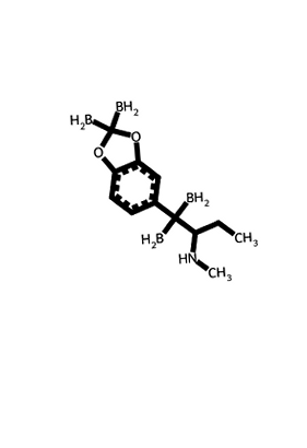 BC1(B)Oc2ccc(C(B)(B)C(CC)NC)cc2O1